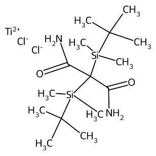 CC(C)(C)[Si](C)(C)C(C(N)=O)(C(N)=O)[Si](C)(C)C(C)(C)C.[Cl-].[Cl-].[Ti+2]